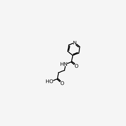 O=C(O)CCNC(=O)c1ccncc1